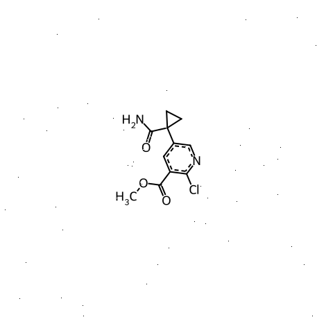 COC(=O)c1cc(C2(C(N)=O)CC2)cnc1Cl